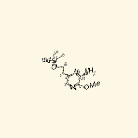 COc1ncc(CCO[Si](C)(C)C(C)(C)C)nc1N